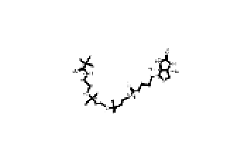 CC(C)(CCNC(=O)CCCC[C@@H]1SC[C@@H]2NC(=O)N[C@@H]21)OCCC(C)(C)OCCNC(=O)C(C)(C)C